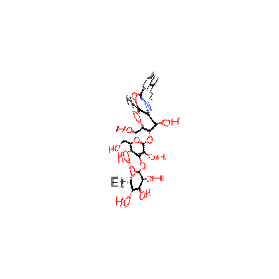 CC[C@@H]1O[C@H](O[C@@H]2C(O)[C@H](O[C@@H]3C(CO)O[C@@H]4OC(C)=NC4[C@H]3O)OC(CO)[C@H]2O)C(O)C(O)[C@@H]1O